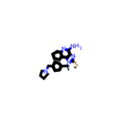 CSc1nc2c(N)nc3ccccc3c2n1[C@@H](C)c1ccc(CN2CCCC2)cc1